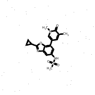 Cc1cc(-c2cc(NS(C)(=O)=O)cc3nc(C4CC4)oc23)cn(C)c1=O